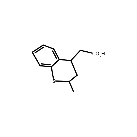 CC1CC(CC(=O)O)c2ccccc2S1